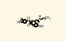 COCCNC(=O)CC(Nc1c(Nc2ccc3[nH]cnc3c2)c(=O)c1=O)c1cccc(O)c1